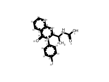 CC(NC(=O)O)c1nc2ncccc2c(=O)n1-c1ccc(I)cc1